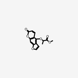 COC(=O)C(C)Oc1c2ccoc2cc2oc(=O)ccc12